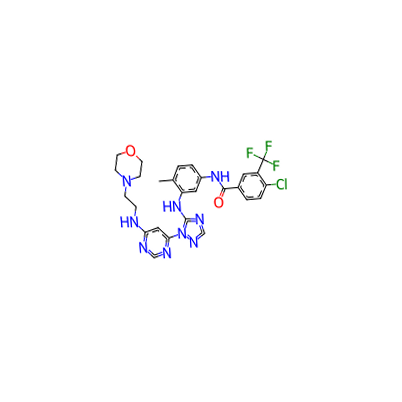 Cc1ccc(NC(=O)c2ccc(Cl)c(C(F)(F)F)c2)cc1Nc1ncnn1-c1cc(NCCN2CCOCC2)ncn1